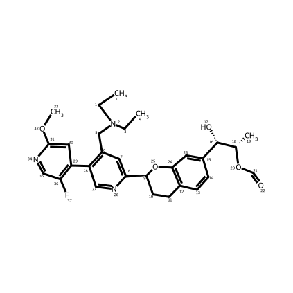 CCN(CC)Cc1cc([C@@H]2CCc3ccc([C@H](O)[C@H](C)OC=O)cc3O2)ncc1-c1cc(OC)ncc1F